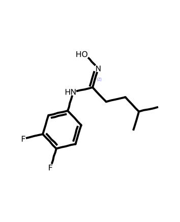 CC(C)CC/C(=N/O)Nc1ccc(F)c(F)c1